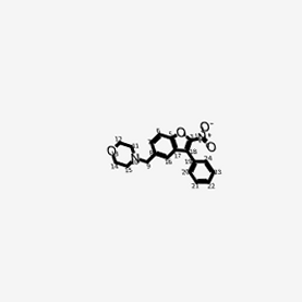 O=[N+]([O-])c1oc2ccc(CN3CCOCC3)cc2c1-c1ccccc1